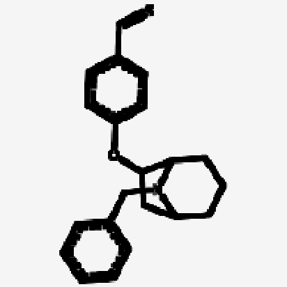 S=Cc1ccc(OC2CC3CCCC2N3Cc2ccccc2)cc1